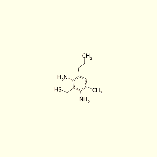 CCCc1cc(C)c(N)c(CS)c1N